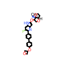 C=NC12OCC[C@H]1OCC2Oc1cc2nc(-c3ccc(-c4ccc(OC5COC5)cc4)cc3)c(F)cc2[nH]1